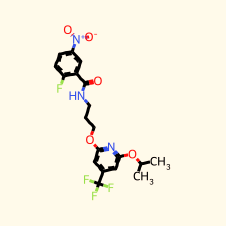 CC(C)Oc1cc(C(F)(F)F)cc(OCCCNC(=O)c2cc([N+](=O)[O-])ccc2F)n1